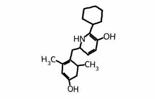 CC1=C(CC2C=CC(O)=C(C3CCCCC3)N2)C(C)CC(O)=C1